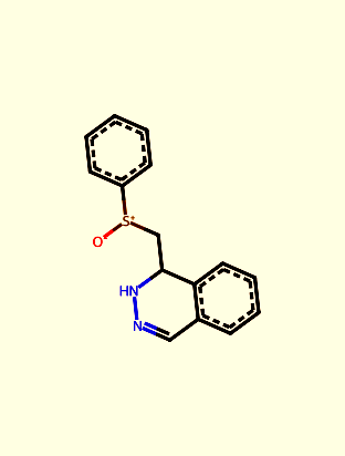 [O-][S+](CC1NN=Cc2ccccc21)c1ccccc1